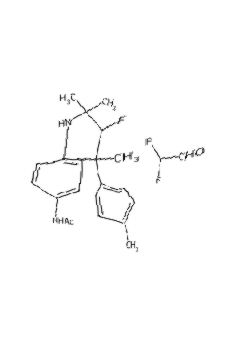 CC(=O)Nc1ccc2c(c1)C(C)(c1ccc(C)cc1)C(F)C(C)(C)N2.O=CC(F)F